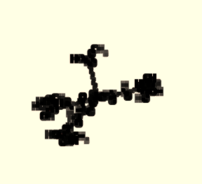 CCOC[C@@H]1C[C@@H](O)CN1C(=O)CCCCCCCCCCC(=O)NC(COCCC(=O)NCCCNC(=O)CCCCOC1OC(CO)C(O)C(O)C1NC(C)=O)(COCCC(=O)NCCCNC(=O)CCCCOC1OC(CO)C(O)C(O)C1NC(C)=O)COCCC(=O)NCCCNC(=O)CCCCOC1OC(CO)C(O)C(O)C1NC(C)=O